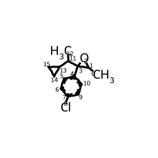 CC1OC1(c1ccc(Cl)cc1)C(C)C1CC1